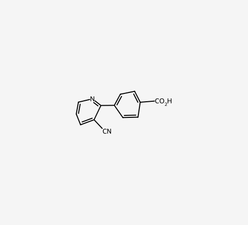 N#Cc1cccnc1-c1ccc(C(=O)O)cc1